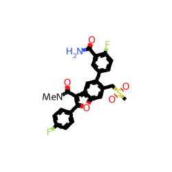 CNC(=O)c1c(-c2ccc(F)cc2)oc2cc(CS(C)(=O)=O)c(-c3ccc(F)c(C(N)=O)c3)cc12